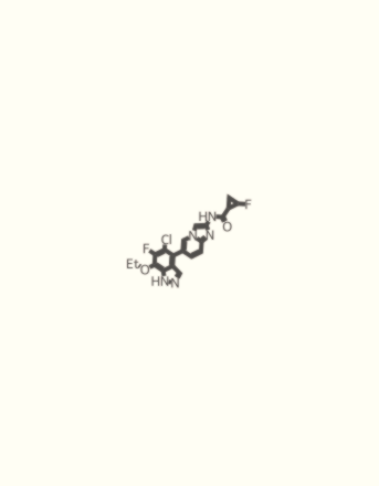 CCOc1c(F)c(Cl)c(-c2ccc3nc(NC(=O)C4CC4F)cn3c2)c2cn[nH]c12